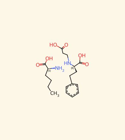 CCCC[C@H](N)C(=O)O.O=C(O)CCN[C@H](CCc1ccccc1)C(=O)O